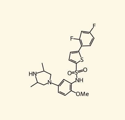 COc1ccc(N2CC(C)NC(C)C2)cc1NS(=O)(=O)c1ccc(-c2ccc(F)cc2F)s1